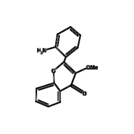 COc1c(-c2ccccc2N)oc2ccccc2c1=O